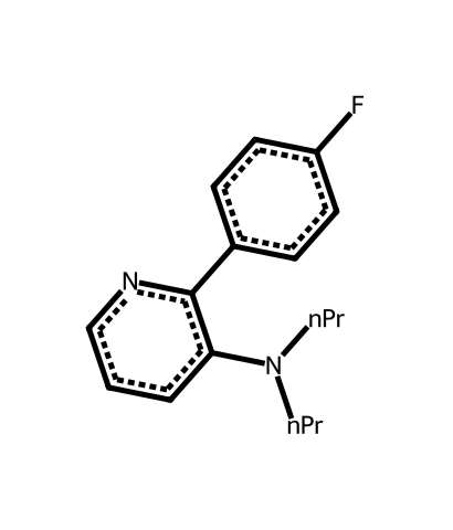 CCCN(CCC)c1cccnc1-c1ccc(F)cc1